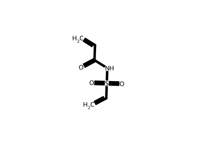 C=CC(=O)NS(=O)(=O)C=C